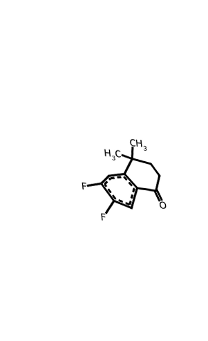 CC1(C)CCC(=O)c2cc(F)c(F)cc21